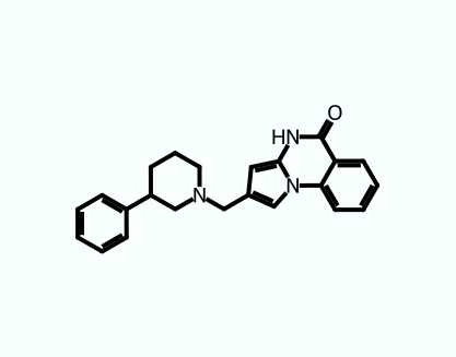 O=c1[nH]c2cc(CN3CCCC(c4ccccc4)C3)cn2c2ccccc12